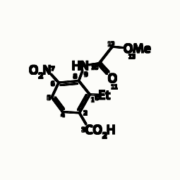 CCc1c(C(=O)O)ccc([N+](=O)[O-])c1NC(=O)COC